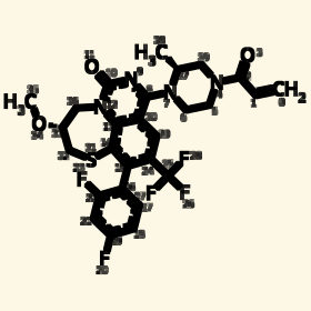 C=CC(=O)N1CCN(c2nc(=O)n3c4c(c(-c5ccc(F)cc5F)c(C(F)(F)F)cc24)SC[C@H](OC)C3)[C@@H](C)C1